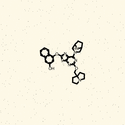 Oc1cc(Oc2nc3c(N4CC5CCC(C4)N5)nc(OCC45CCCN4CCC5)nc3s2)c2ccccc2c1